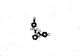 N#Cc1ccc(NC(=O)CN2C(=O)C(c3ccc(Cl)cc3)=NC23CCCCC3)cc1